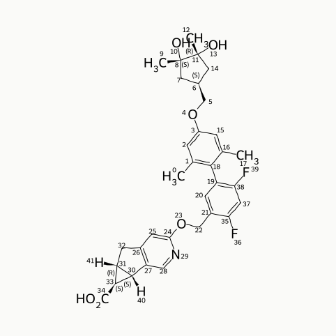 Cc1cc(OC[C@H]2C[C@](C)(O)[C@](C)(O)C2)cc(C)c1-c1cc(COc2cc3c(cn2)[C@H]2[C@@H](C3)[C@@H]2C(=O)O)c(F)cc1F